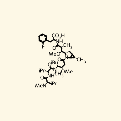 CC[C@H](C)[C@@H]([C@@H](CC(=O)N1C2C(C[C@H]1[C@H](OC)[C@@H](C)C(=O)N[C@@H](Cc1ccccc1F)C(=O)O)[C@@H]2C)OC)N(C)C(=O)[C@@H](NC(=O)[C@@H](NC)C(C)C)C(C)C